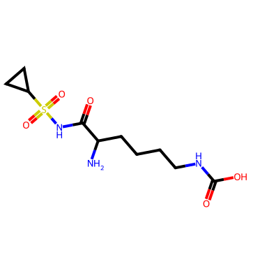 NC(CCCCNC(=O)O)C(=O)NS(=O)(=O)C1CC1